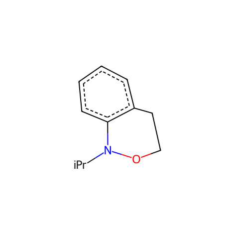 CC(C)N1OCCc2ccccc21